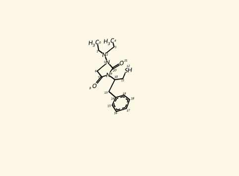 CCN(CC)N1CC(=O)N(C(CS)Cc2ccccc2)C1=O